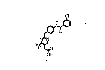 C[As](C)c1nc(Cc2ccc(NC(=O)c3cccc(Cl)c3)cc2)ncc1CC(=O)O